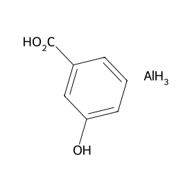 O=C(O)c1cccc(O)c1.[AlH3]